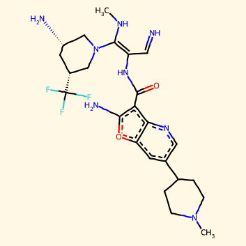 CN/C(=C(\C=N)NC(=O)c1c(N)oc2cc(C3CCN(C)CC3)cnc12)N1C[C@@H](N)C[C@@H](C(F)(F)F)C1